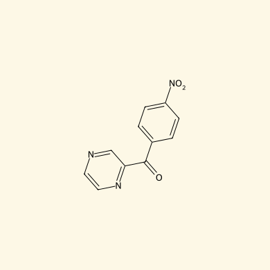 O=C(c1ccc([N+](=O)[O-])cc1)c1cnccn1